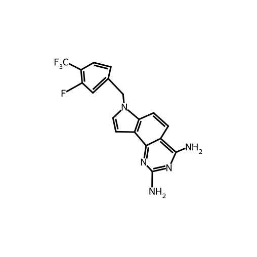 Nc1nc(N)c2ccc3c(ccn3Cc3ccc(C(F)(F)F)c(F)c3)c2n1